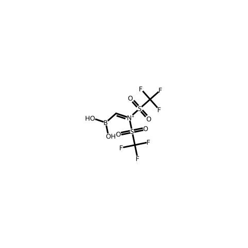 O=S(=O)([N+](=CB(O)O)S(=O)(=O)C(F)(F)F)C(F)(F)F